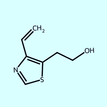 C=Cc1ncsc1CCO